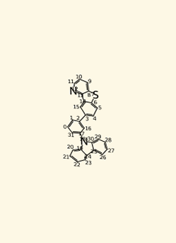 c1cc(-c2ccc3sc4cccnc4c3c2)cc(-n2c3ccccc3c3ccccc32)c1